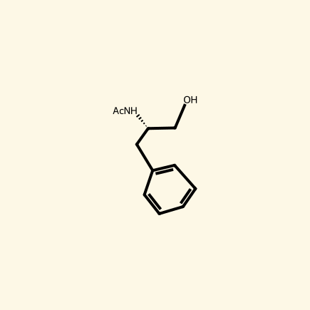 CC(=O)N[C@H](CO)Cc1ccccc1